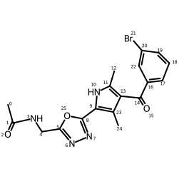 CC(=O)NCc1nnc(-c2[nH]c(C)c(C(=O)c3cccc(Br)c3)c2C)o1